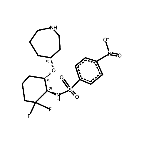 O=[N+]([O-])c1ccc(S(=O)(=O)N[C@@H]2[C@@H](O[C@@H]3CCCNCC3)CCCC2(F)F)cc1